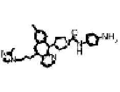 Cc1ccc2c(c1)C=C(CCCn1ccnc1C)c1cccnc1C2C1CCN(C(=O)Nc2ccc(N)cc2)CC1